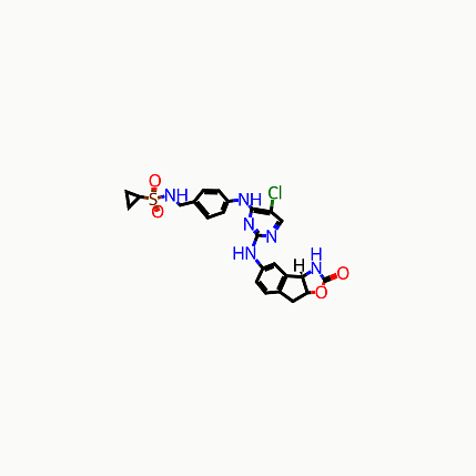 O=C1N[C@@H]2c3cc(Nc4ncc(Cl)c(Nc5ccc(CNS(=O)(=O)C6CC6)cc5)n4)ccc3CC2O1